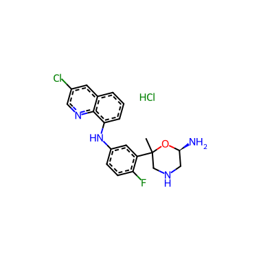 CC1(c2cc(Nc3cccc4cc(Cl)cnc34)ccc2F)CNC[C@H](N)O1.Cl